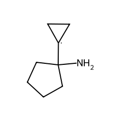 NC1([C]2CC2)CCCC1